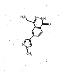 Cn1cc(-c2ccc3c(=O)[nH]nc(CN)c3c2)cn1